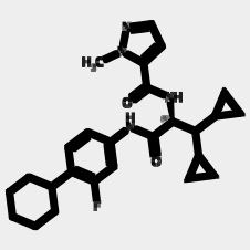 Cn1nccc1C(=O)N[C@H](C(=O)Nc1ccc(C2CCCCC2)c(F)c1)C(C1CC1)C1CC1